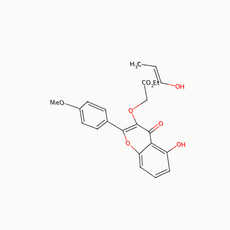 CC=CO.CCOC(=O)COc1c(-c2ccc(OC)cc2)oc2cccc(O)c2c1=O